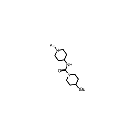 CC(=O)N1CCC(NC(=O)N2CCC(C(C)(C)C)CC2)CC1